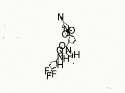 N#CC1CN(S(=O)(=O)c2cccc(C(=O)N3C[C@H]4C[C@H]4[C@@H]3C(=O)NCc3ccc(C(F)(F)F)cc3)c2)C1